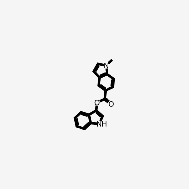 Cn1ccc2cc(C(=O)Oc3c[nH]c4ccccc34)ccc21